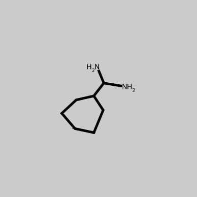 NC(N)C1CC[CH]CC1